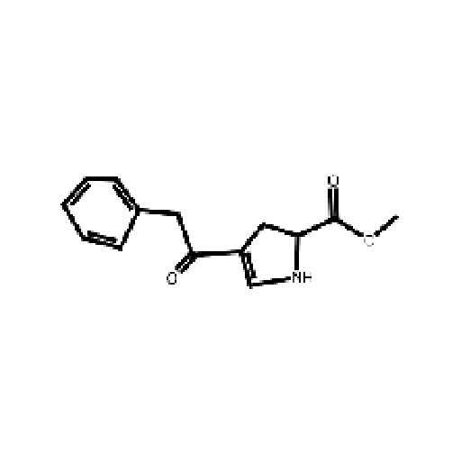 COC(=O)C1CC(C(=O)Cc2ccccc2)=CN1